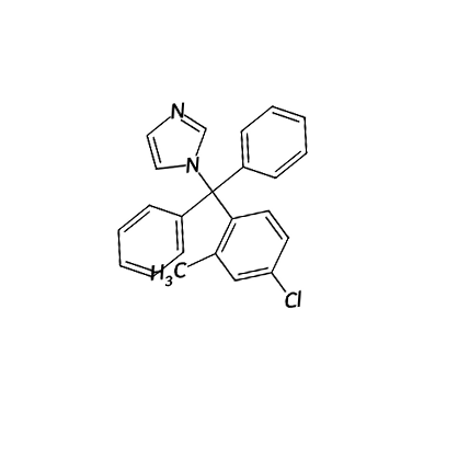 Cc1cc(Cl)ccc1C(c1ccccc1)(c1ccccc1)n1ccnc1